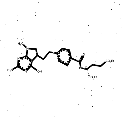 CCOC(=O)CC[C@@H](NC(=O)c1ccc(CCC2CN(C)c3nc(N)nc(O)c32)cc1)C(=O)OCC